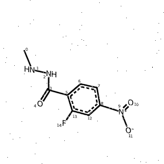 CNNC(=O)c1ccc([N+](=O)[O-])cc1F